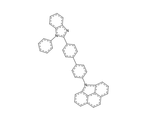 c1ccc(-n2c(-c3ccc(-c4ccc(-n5c6cccc7ccc8cccc5c8c76)cc4)cc3)nc3ccccc32)cc1